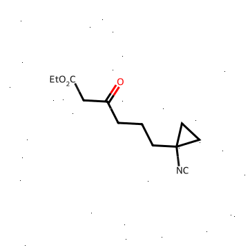 [C-]#[N+]C1(CCCC(=O)CC(=O)OCC)CC1